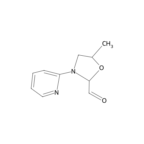 CC1CN(c2ccccn2)C(C=O)O1